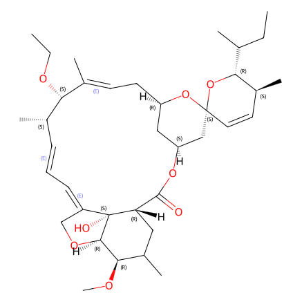 CCO[C@@H]1/C(C)=C/C[C@@H]2C[C@@H](C[C@]3(C=C[C@H](C)[C@@H](C(C)CC)O3)O2)OC(=O)[C@@H]2CC(C)[C@@H](OC)[C@H]3OC/C(=C\C=C\[C@@H]1C)[C@]32O